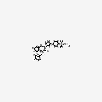 NS(=O)(=O)c1ccc(-c2cn(C(Cc3ccccc3)C(=O)NCc3ccccn3)nn2)cc1